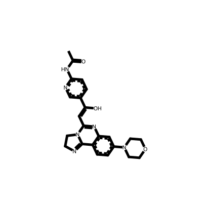 CC(=O)Nc1ccc(C(O)=CC2=Nc3cc(N4CCOCC4)ccc3C3=NCCN23)cn1